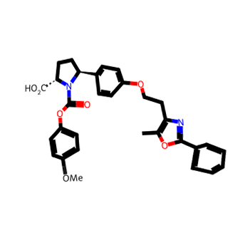 COc1ccc(OC(=O)N2[C@H](C(=O)O)CC[C@H]2c2ccc(OCCc3nc(-c4ccccc4)oc3C)cc2)cc1